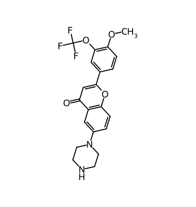 COc1ccc(-c2cc(=O)c3cc(N4CCNCC4)ccc3o2)cc1OC(F)(F)F